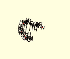 Cn1cc(NC(=O)c2nc(NC(=O)CCNC(=O)c3cc(NC(=O)c4nccn4C)cn3C)cn2C)cc1C(=O)NCCCC(=O)Nc1cn(C)c(C(=O)NCCC(=O)Nc2cc(C(=O)Nc3cn(C)c(C(=O)NCCC#N)n3)n(C)c2)n1